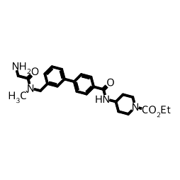 CCOC(=O)N1CCC(NC(=O)c2ccc(-c3cccc(CN(C)C(=O)CN)c3)cc2)CC1